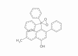 Cc1ccc2c(P3(c4ccccc4)(c4ccccc4)OO3)c(-c3ccccc3)cc(O)c2c1